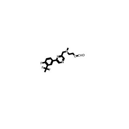 CN(CCOC=O)Cc1cncc(-c2ccc(F)c(C(C)(F)F)c2)n1